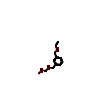 CCSCc1cccc(CSCSC)c1